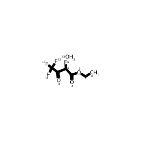 CCOC(=O)C(F)C(=O)C(F)(F)F.O